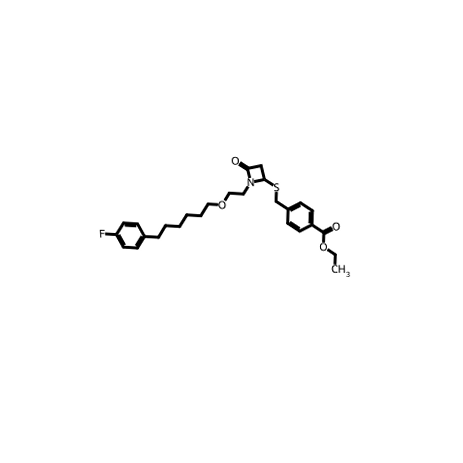 CCOC(=O)c1ccc(CSC2CC(=O)N2CCOCCCCCCc2ccc(F)cc2)cc1